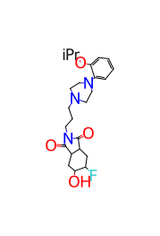 CC(C)Oc1ccccc1N1CCN(CCCN2C(=O)C3CC(O)C(F)CC3C2=O)CC1